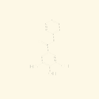 O=C(Cc1ccccc1)c1cc(O)c(O)c(O)c1